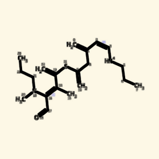 C=C(/C=C\NCCC)CC(=C)SC(=C)/C(C)=C(/C=O)N(C)CCC